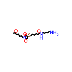 CC(=O)CCCCCN1C(=O)CC(SCCCCCC(=O)NCCCCCN)C1=O